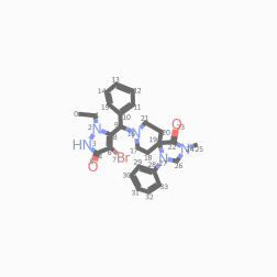 CCn1[nH]c(=O)c(Br)c1C(c1ccccc1)N1CCC2(CC1)C(=O)N(C)CN2c1ccccc1